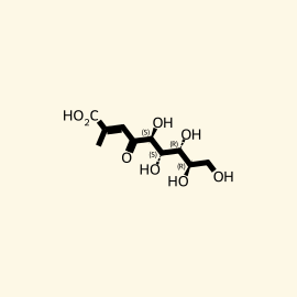 CC(=CC(=O)[C@@H](O)[C@@H](O)[C@H](O)[C@H](O)CO)C(=O)O